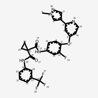 Cn1cc(-c2cc(Oc3ccc(NC(=O)C4(C(=O)Nc5cccc(C(F)(F)F)c5)CC4)cc3F)ccn2)cn1